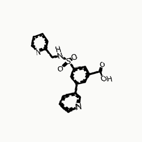 O=C(O)c1cc(-c2cccnc2)cc(S(=O)(=O)NCc2ccccn2)c1